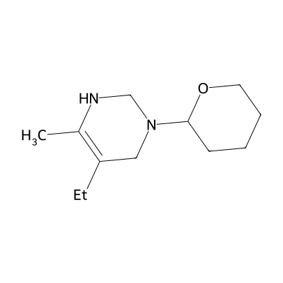 CCC1=C(C)NCN(C2CCCCO2)C1